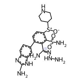 NN/N=C(\N)c1c(-c2ccc3nc(N)[nH]c3c2)ccc([S+]([O-])C2CCNCC2)c1S(N)(=O)=O